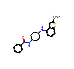 COc1cc2c(NC3CCC(NC(=O)c4ccccc4)CC3)cccc2s1